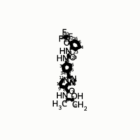 C=C(O)[C@@H](C)NC(=O)c1cccn2c(-c3ccc(NC(=O)Nc4ccccc4OC(F)(F)F)cc3)nnc12